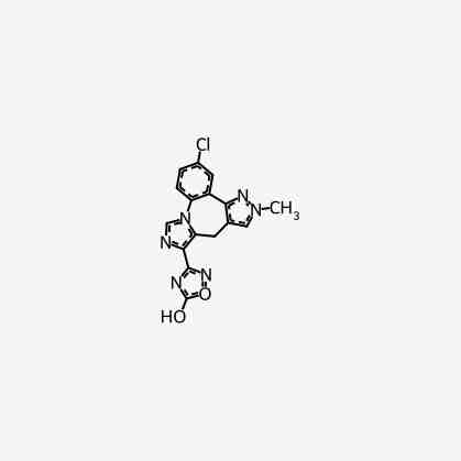 Cn1cc2c(n1)-c1cc(Cl)ccc1-n1cnc(-c3noc(O)n3)c1C2